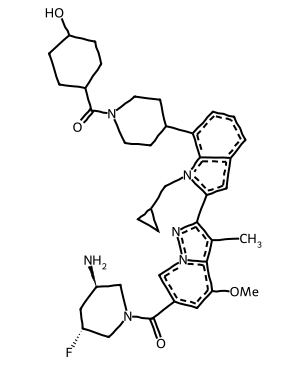 COc1cc(C(=O)N2C[C@H](N)C[C@@H](F)C2)cn2nc(-c3cc4cccc(C5CCN(C(=O)C6CCC(O)CC6)CC5)c4n3CC3CC3)c(C)c12